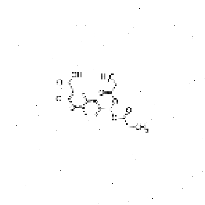 CCC(=O)OC(OC(=O)CC)c1ccc2oc(=O)c(C(=O)O)cc2c1